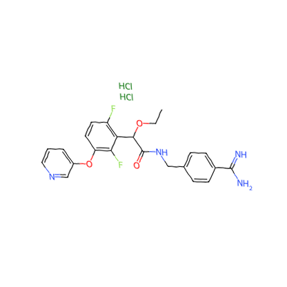 CCOC(C(=O)NCc1ccc(C(=N)N)cc1)c1c(F)ccc(Oc2cccnc2)c1F.Cl.Cl